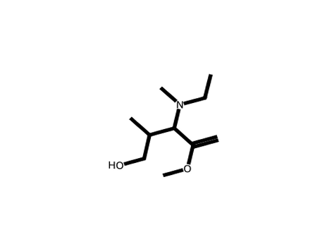 C=C(OC)C(C(C)CO)N(C)CC